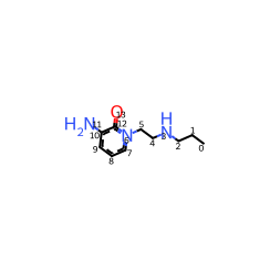 CCCNCCn1cccc(N)c1=O